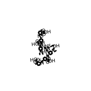 CCN(CC)c1ccc(/N=N/c2ccc(-c3nc4ccc(C)c(S(=O)(=O)O)c4s3)cc2S(=O)(=O)O)c(Nc2nc(Nc3cc(N(CC)CC)ccc3/N=N/c3ccc(-c4nc5ccc(C)c(S(=O)(=O)O)c5s4)cc3S(=O)(=O)O)nc(SCCO)n2)c1